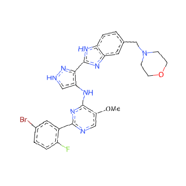 COc1cnc(-c2cc(Br)ccc2F)nc1Nc1c[nH]nc1-c1nc2cc(CN3CCOCC3)ccc2[nH]1